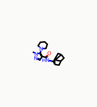 Cn1ncc(C(=O)NC2C3CC4CC(C3)CC2C4)c1N1CCCCC1